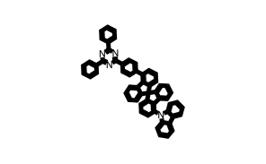 c1ccc(-c2nc(-c3ccccc3)nc(-c3ccc(-c4cccc5c4-c4ccccc4C54c5ccccc5-c5c(-n6c7ccccc7c7ccccc76)cccc54)cc3)n2)cc1